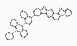 c1ccc(-c2c3ccccc3c(-c3ccc(-c4ccc5oc6cc7c(ccc8c9ccccc9oc78)cc6c5c4)c4ccccc34)c3ccccc23)cc1